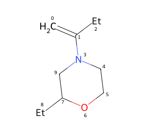 C=C(CC)N1CCOC(CC)C1